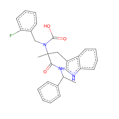 CC(NC(=O)C(C)(Cc1c[nH]c2ccccc12)N(Cc1ccccc1F)C(=O)O)c1ccccc1